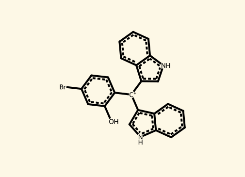 Oc1cc(Br)ccc1[C+](c1c[nH]c2ccccc12)c1c[nH]c2ccccc12